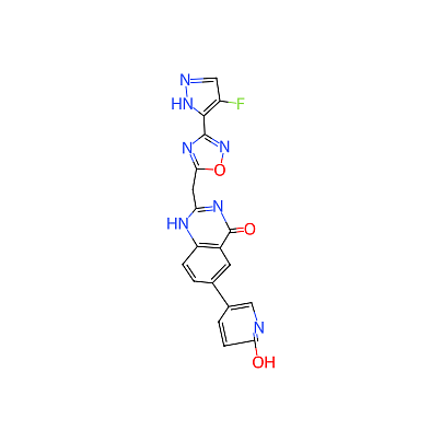 O=c1nc(Cc2nc(-c3[nH]ncc3F)no2)[nH]c2ccc(-c3ccc(O)nc3)cc12